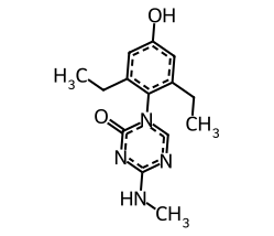 CCc1cc(O)cc(CC)c1-n1cnc(NC)nc1=O